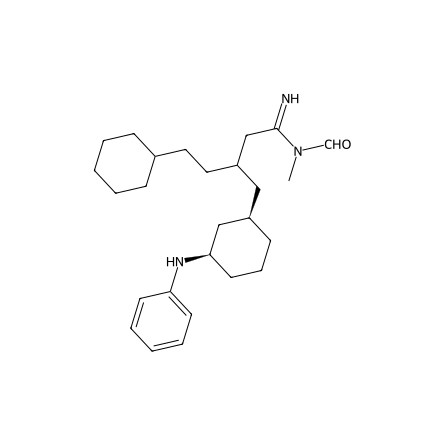 CN(C=O)C(=N)CC(CCC1CCCCC1)C[C@H]1CCC[C@@H](Nc2ccccc2)C1